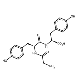 NCC(=O)N[C@@H](Cc1ccc(O)cc1)C(=O)N[C@@H](Cc1ccc(O)cc1)C(=O)O